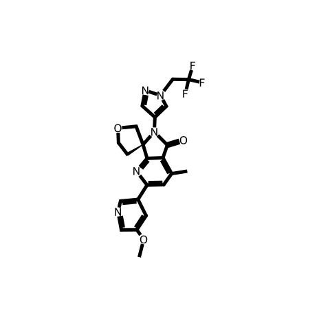 COc1cncc(-c2cc(C)c3c(n2)[C@@]2(CCOC2)N(c2cnn(CC(F)(F)F)c2)C3=O)c1